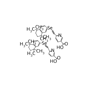 CC1(C)CCC(C)(C)c2cc([Se]C#Cc3ccc(C(=O)O)cn3)ccc21.CC1(C)CCC(C)(C)c2cc([Se]C#Cc3ccc(C(=O)O)cn3)ccc21